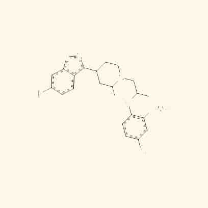 COc1cc(C(C)=O)ccc1OC(C)CN1CCC(c2noc3cc(F)ccc23)CC1I